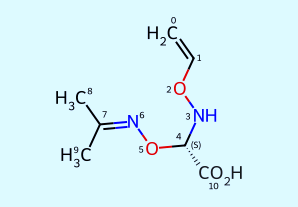 C=CON[C@@H](ON=C(C)C)C(=O)O